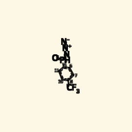 [N-]=[N+]=N[PH](=O)c1ccc(C(F)(F)F)cc1